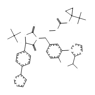 CC(C)(C)C[C@]1(c2ccc(-c3ccsn3)cc2)NC(=N)N([C@H](COC(=O)NC2(C(F)(F)F)CC2)c2ccc(Cl)c(-n3ncnc3C(F)F)c2)C1=O